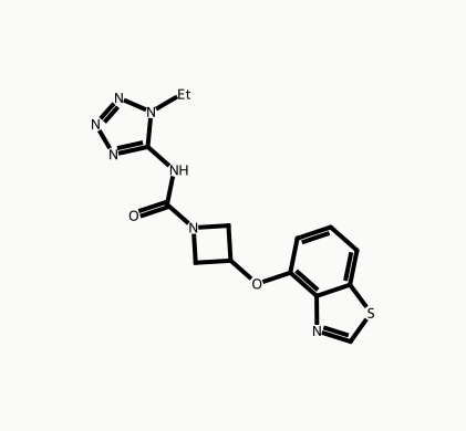 CCn1nnnc1NC(=O)N1CC(Oc2cccc3scnc23)C1